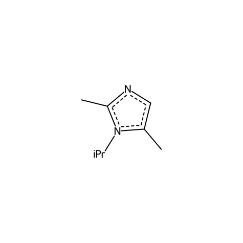 Cc1cnc(C)n1C(C)C